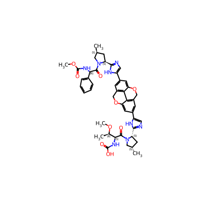 COC(=O)N[C@@H](C(=O)N1C[C@@H](C)C[C@H]1c1ncc(-c2cc3c4c(c2)OCc2cc(-c5cnc([C@@H]6C[C@H](C)CN6C(=O)[C@@H](NC(=O)O)[C@@H](C)OC)[nH]5)cc(c2-4)OC3)[nH]1)c1ccccc1